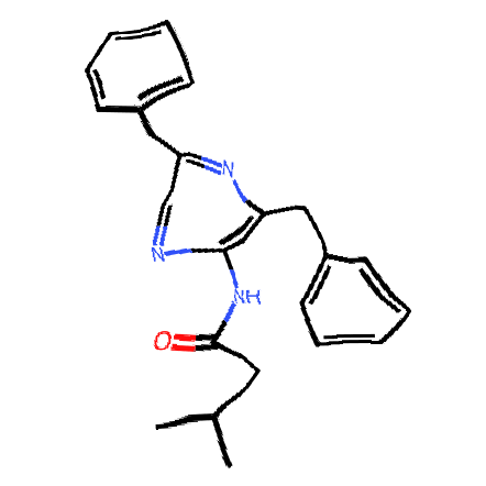 CC(C)CC(=O)Nc1ncc(-c2ccccc2)nc1Cc1ccccc1